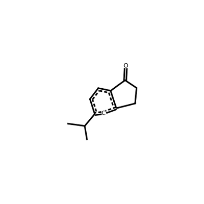 CC(C)c1ccc2c(c1)CCC2=O